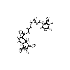 CN(CCCCC(=O)c1ccc2c(c1)C(=O)N(C)C2=O)CCc1ccccc1Cl